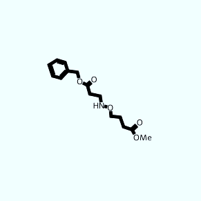 COC(=O)CCCONCCC(=O)OCc1ccccc1